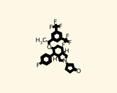 C[C@@H](OC1CC[C@@H]2CN(C3=CC(=O)CC3)C[C@H]2C1c1ccc(F)cc1)c1cc(C(F)(F)F)cc(C(F)(F)F)c1